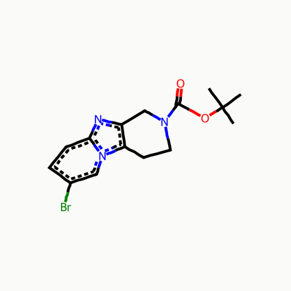 CC(C)(C)OC(=O)N1CCc2c(nc3ccc(Br)cn23)C1